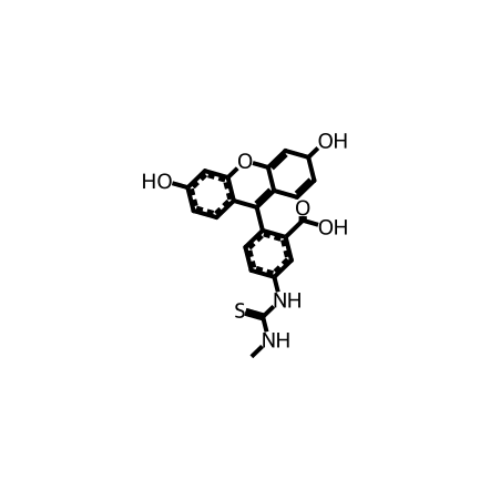 CNC(=S)Nc1ccc(C2=C3C=CC(O)C=C3Oc3cc(O)ccc32)c(C(=O)O)c1